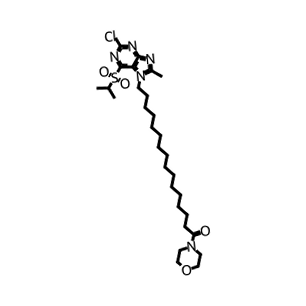 Cc1nc2nc(Cl)nc(S(=O)(=O)C(C)C)c2n1CCCCCCCCCCCCCCCC(=O)N1CCOCC1